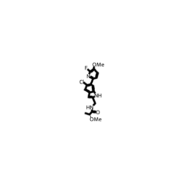 COc1ccc(-c2cc3[nH]c(CNC(=O)[C@@H](C)OC)cc3cc2Cl)nc1F